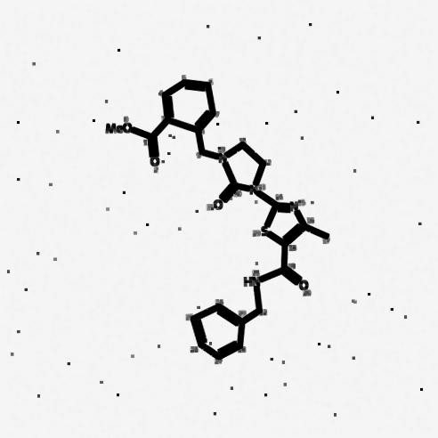 COC(=O)c1ccccc1CN1CCN(c2nc(C)c(C(=O)NCc3ccccc3)s2)C1=O